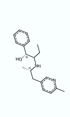 CCC(N[C@@H](C)Cc1ccc(C)nc1)[C@H](O)c1ccccc1